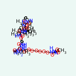 CC[C@H](C)[C@@H]([C@@H](CC(=O)N1CCC[C@H]1[C@H](OC)[C@@H](C)C(=O)N[C@@H](Cc1ccccc1)c1nccs1)OC)N(C)C(=O)[C@@H](NC(=O)C(C)(C)NC(=O)OCc1ccc(NC(=O)[C@H](CCCNC(N)=O)NC(=O)[C@@H](NC(=O)CCOCCOCCOCCOCCOCCOCCNC(=O)c2cnc(S(C)(=O)=O)cn2)C(C)C)cc1)C(C)C